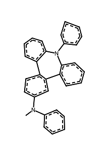 CN(c1ccccc1)c1ccc2c(c1)-c1ccccc1N(c1ccccc1)c1ccccc1-2